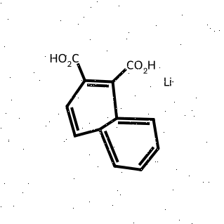 O=C(O)c1ccc2ccccc2c1C(=O)O.[Li]